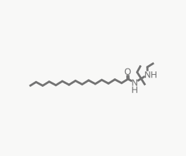 CCCCCCCCCCCCCCCC(=O)NC(C)(CC)NCC